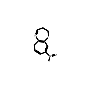 O=[N+]([O-])C1=CC2=C(CC=C1)N=CCCS2